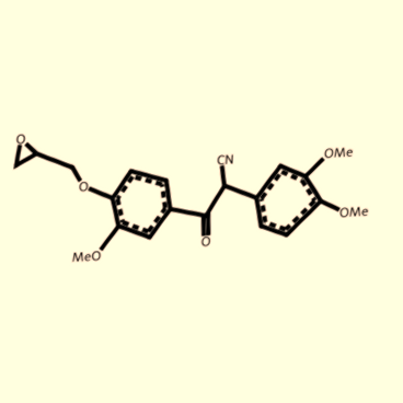 COc1ccc(C(C#N)C(=O)c2ccc(OCC3CO3)c(OC)c2)cc1OC